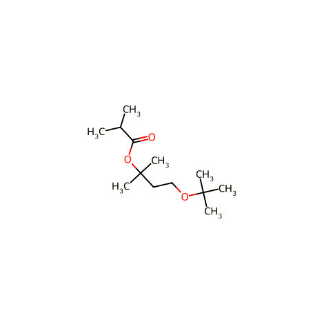 CC(C)C(=O)OC(C)(C)CCOC(C)(C)C